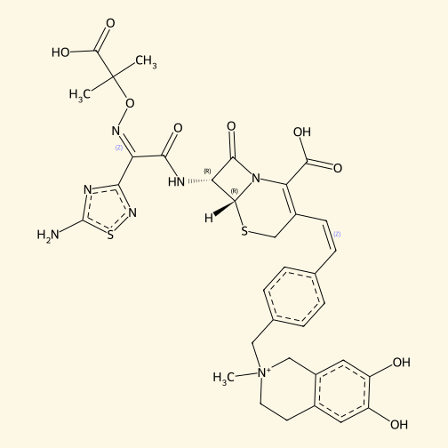 CC(C)(O/N=C(\C(=O)N[C@@H]1C(=O)N2C(C(=O)O)=C(/C=C\c3ccc(C[N+]4(C)CCc5cc(O)c(O)cc5C4)cc3)CS[C@H]12)c1nsc(N)n1)C(=O)O